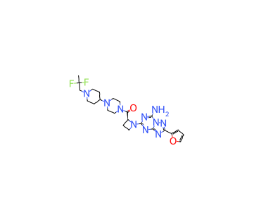 CC(F)(F)CN1CCC(N2CCN(C(=O)[C@@H]3CCN3c3nc(N)n4nc(-c5ccco5)nc4n3)CC2)CC1